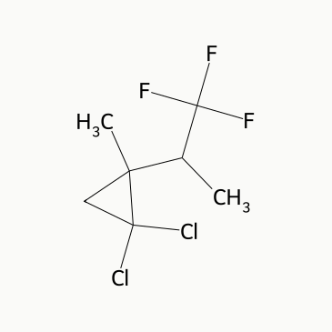 CC(C(F)(F)F)C1(C)CC1(Cl)Cl